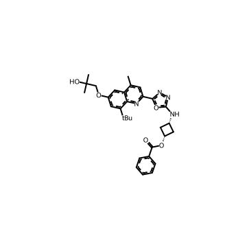 Cc1cc(-c2nnc(N[C@H]3C[C@@H](OC(=O)c4ccccc4)C3)o2)nc2c(C(C)(C)C)cc(OCC(C)(C)O)cc12